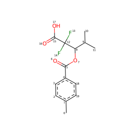 Cc1ccc(C(=O)OC(C(C)C)C(F)(F)C(=O)O)cc1